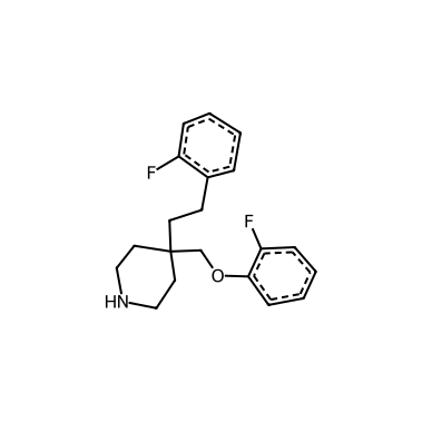 Fc1ccccc1CCC1(COc2ccccc2F)CCNCC1